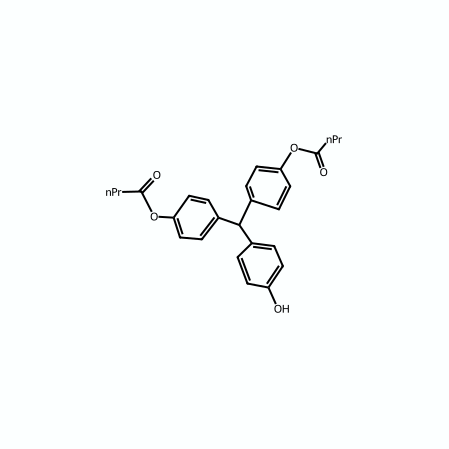 CCCC(=O)Oc1ccc(C(c2ccc(O)cc2)c2ccc(OC(=O)CCC)cc2)cc1